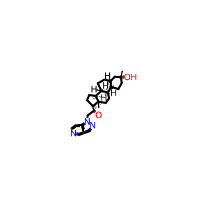 C[C@@]1(O)CC[C@H]2[C@H](CC[C@@H]3[C@@H]2CC[C@]2(C)[C@@H](C(=O)Cn4ncc5cnccc54)CC[C@@H]32)C1